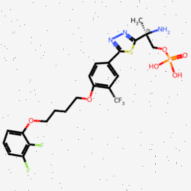 C[C@](N)(COP(=O)(O)O)c1nnc(-c2ccc(OCCCCOc3cccc(F)c3F)c(C(F)(F)F)c2)s1